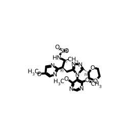 COc1cnc([C@H](Cc2nnc([C@H]3COCCO3)n2-c2c(OC)ncnc2OC)[C@@H](C)N[SH](=O)=O)nc1